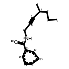 CCCC(C)C#CCNC(=O)c1ccccc1